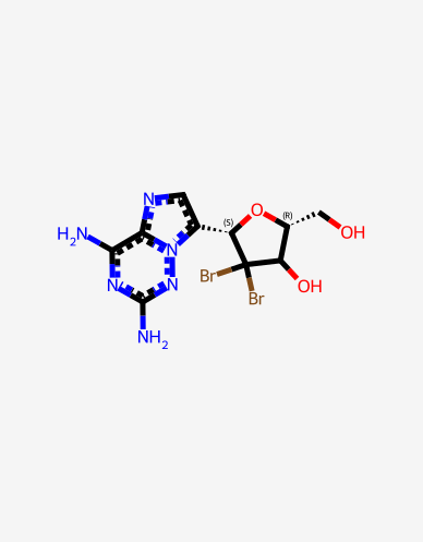 Nc1nc(N)c2ncc([C@@H]3O[C@H](CO)C(O)C3(Br)Br)n2n1